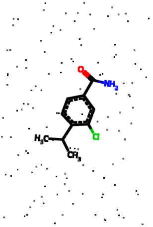 CC(C)c1ccc(C(N)=O)cc1Cl